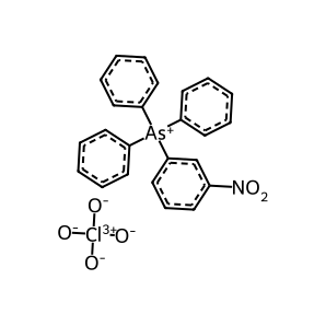 O=[N+]([O-])c1cccc([As+](c2ccccc2)(c2ccccc2)c2ccccc2)c1.[O-][Cl+3]([O-])([O-])[O-]